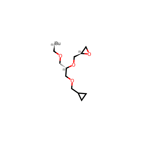 CC[C@H](C)COC[C@@H](COCC1CC1)OC[C@H]1CO1